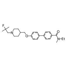 CCN(C)C(=O)c1ccc(-c2ccc(OCC3CCN(CC(C)(C)F)CC3)cc2)cc1